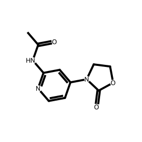 CC(=O)Nc1cc(N2CCOC2=O)ccn1